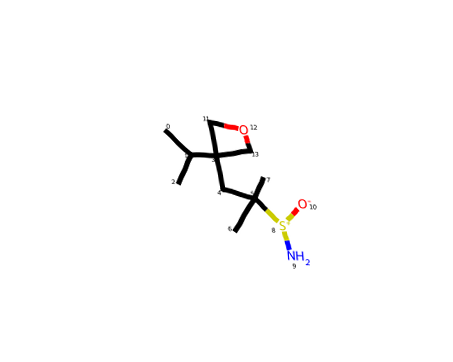 CC(C)C1(CC(C)(C)[S+](N)[O-])COC1